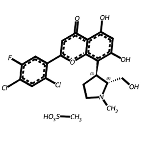 CN1CC[C@@H](c2c(O)cc(O)c3c(=O)cc(-c4cc(F)c(Cl)cc4Cl)oc23)[C@@H]1CO.CS(=O)(=O)O